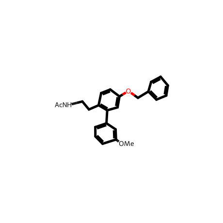 COc1cccc(-c2cc(OCc3ccccc3)ccc2CCNC(C)=O)c1